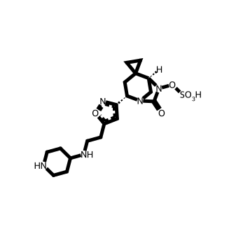 O=C1N2C[C@H](N1OS(=O)(=O)O)C1(CC1)C[C@H]2c1cc(CCNC2CCNCC2)on1